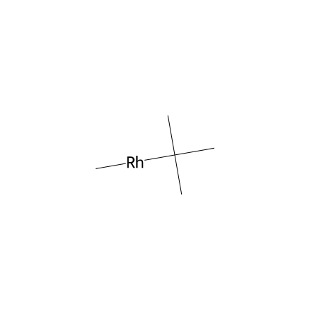 [CH3][Rh][C](C)(C)C